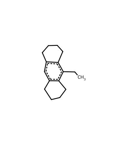 CCc1c2c(cc3c1CCCC3)CCCC2